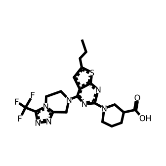 CCCc1cc2c(N3CCn4c(nnc4C(F)(F)F)C3)nc(N3CCCC(C(=O)O)C3)nc2s1